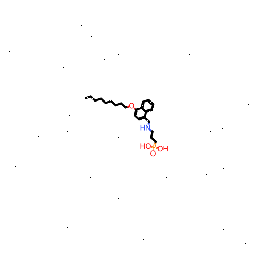 CCCCCCCCCOc1ccc(CNCCCP(=O)(O)O)c2ccccc12